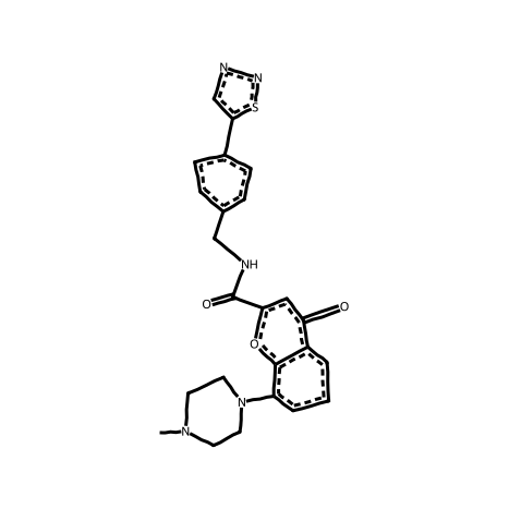 CN1CCN(c2cccc3c(=O)cc(C(=O)NCc4ccc(-c5cnns5)cc4)oc23)CC1